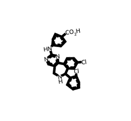 O=C(O)c1ccc(Nc2ncc3c(n2)-c2ccc(Cl)cc2C(c2ccccc2Cl)NC3)cc1